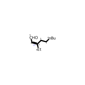 CCCCCC/C(=C\C=O)CC